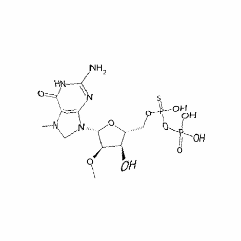 CO[C@@H]1[C@H](O)[C@@H](COP(O)(=S)OP(=O)(O)O)O[C@H]1N1CN(C)c2c1nc(N)[nH]c2=O